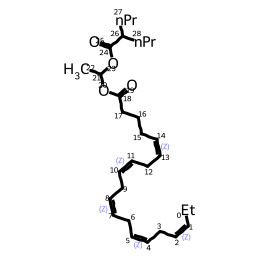 CC/C=C\C/C=C\C/C=C\C/C=C\C/C=C\CCCC(=O)OC(C)OC(=O)C(CCC)CCC